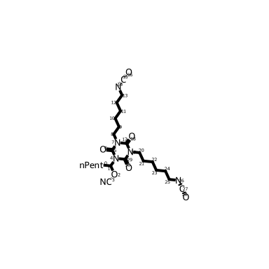 CCCCCC(OC#N)n1c(=O)n(CCCCCCN=C=O)c(=O)n(CCCCCCN=C=O)c1=O